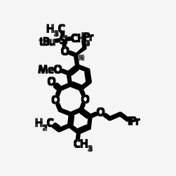 C=Cc1c(C)cc(OCCC(C)C)c2c1COC(=O)c1c(ccc([C@H](CC(C)C)O[Si](C)(C)C(C)(C)C)c1OC)O2